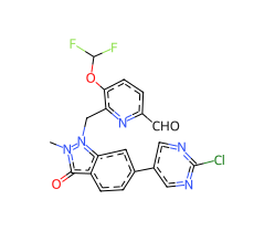 Cn1c(=O)c2ccc(-c3cnc(Cl)nc3)cc2n1Cc1nc(C=O)ccc1OC(F)F